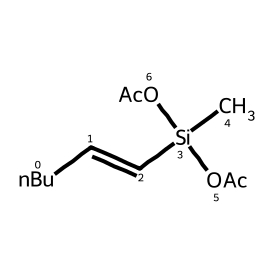 CCCCC=C[Si](C)(OC(C)=O)OC(C)=O